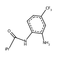 CC(C)C(=O)Nc1ccc(C(F)(F)F)cc1N